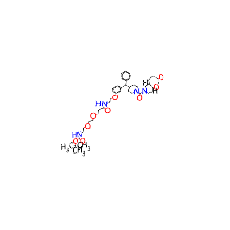 CC(C)(C)OC(=O)NCCOCCOCCC(=O)NCCOc1cccc(C(c2ccccc2)C2CCN(C(=O)N3CC[C@@H]4OCC(=O)CCC[C@@H]4C3)CC2)c1